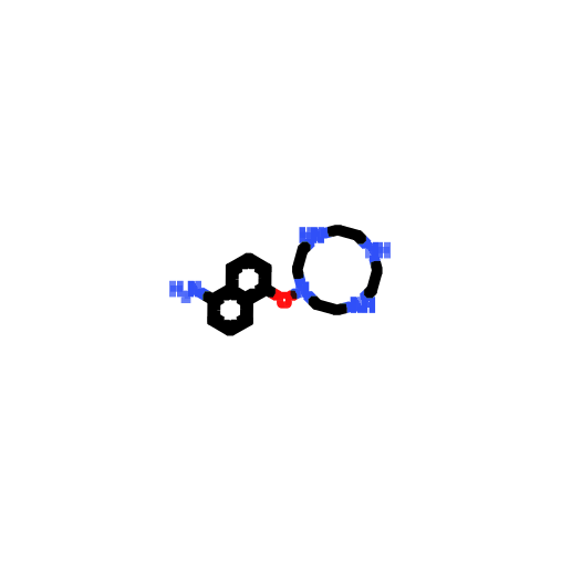 Nc1cccc2c(ON3CCNCCNCCNCC3)cccc12